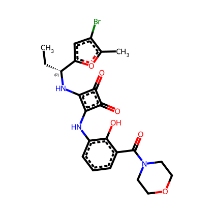 CC[C@@H](Nc1c(Nc2cccc(C(=O)N3CCOCC3)c2O)c(=O)c1=O)c1cc(Br)c(C)o1